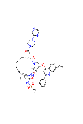 COc1ccc2c(O[C@@H]3C[C@H]4C(=O)N[C@]5(C(=O)NS(=O)(=O)C6CC6)C[C@H]5/C=C\CCCCC[C@H](CC(=O)N5CCN(c6cnccn6)CC5)C(=O)N4C3)cc(-c3ccccc3)nc2c1